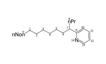 CCCCCCCCCCCCCCCC(CCC)c1ccccn1